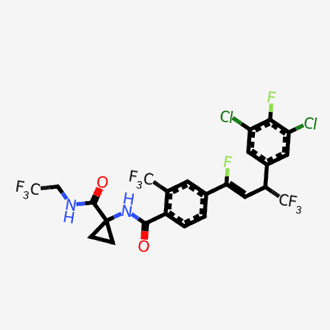 O=C(NC1(C(=O)NCC(F)(F)F)CC1)c1ccc(C(F)=CC(c2cc(Cl)c(F)c(Cl)c2)C(F)(F)F)cc1C(F)(F)F